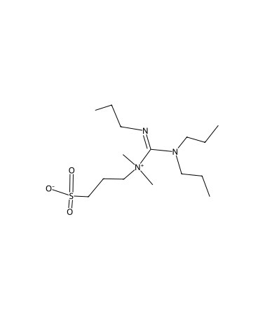 CCCN=C(N(CCC)CCC)[N+](C)(C)CCCS(=O)(=O)[O-]